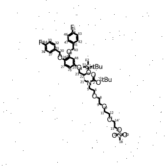 CC(C)(C)OC(=O)N(CCOCCOCCOCCOS(C)(=O)=O)C[C@H](COc1ccc(OCc2ccc(F)cc2)c(OCc2ccc(F)cc2)c1)O[Si](C)(C)C(C)(C)C